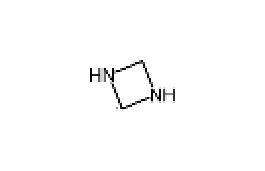 [CH]1NCN1